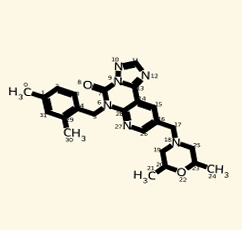 Cc1ccc(Cn2c(=O)n3ncnc3c3cc(CN4CC(C)OC(C)C4)cnc32)c(C)c1